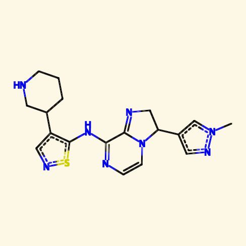 Cn1cc(C2CN=C3C(Nc4sncc4C4CCCNC4)=NC=CN32)cn1